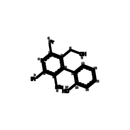 CCCCc1c(C(C)C)nc(C(C)C)c(CO)c1-c1ccccc1O